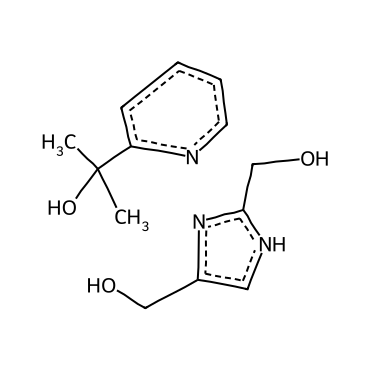 CC(C)(O)c1ccccn1.OCc1c[nH]c(CO)n1